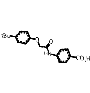 CC(C)(C)c1ccc(OCC(=O)Nc2ccc(C(=O)O)cc2)cc1